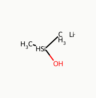 C[SiH](C)O.[Li]